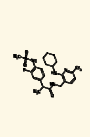 CC(C(=O)NCc1ccc(C(F)(F)F)nc1NC1CCCCC1)c1ccc(NS(C)(=O)=O)c(F)c1